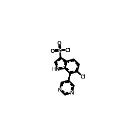 O=S(=O)(Cl)c1c[nH]c2c(-c3cncnc3)c(Cl)ccc12